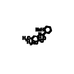 CC(C)C[C@H](NC(=O)C1CCCCC1)C(=O)O.[NaH]